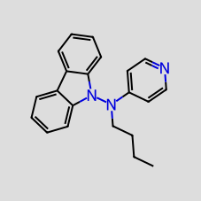 CCCCN(c1ccncc1)n1c2ccccc2c2ccccc21